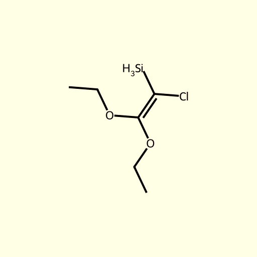 CCOC(OCC)=C([SiH3])Cl